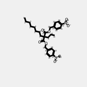 CCCCCCCCC(CCC)(C(=O)OCc1ccc([N+](=O)[O-])cc1)C(=O)OCc1ccc([N+](=O)[O-])cc1